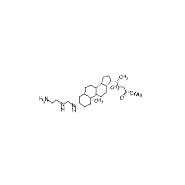 COC(=O)CCC(C)[C@H]1CCC2C3CCC4C[C@@H](NCNCCN)CC[C@]4(C)C3CC[C@@]21C